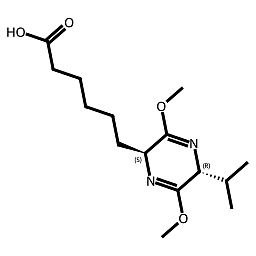 COC1=N[C@H](C(C)C)C(OC)=N[C@H]1CCCCCC(=O)O